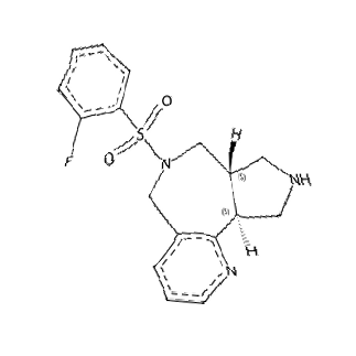 O=S(=O)(c1ccccc1F)N1Cc2cccnc2[C@@H]2CNC[C@H]2C1